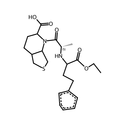 CCOC(=O)C(CCc1ccccc1)N[C@@H](C)C(=O)N1C(C(=O)O)CCC2CSCC21